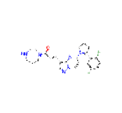 O=C(C=Cc1cnn2ccc(N3CCC[C@@H]3c3cc(F)ccc3F)nc12)N1CCCNCC1